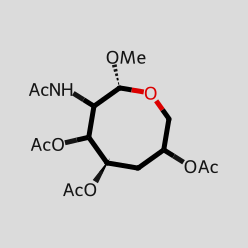 CO[C@@H]1OCC(OC(C)=O)C[C@@H](OC(C)=O)C(OC(C)=O)C1NC(C)=O